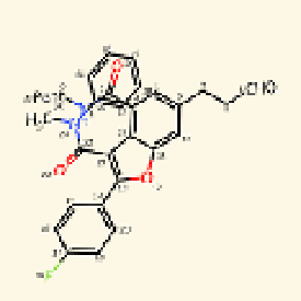 CCCCCNC(=O)c1cc(CCC=O)cc2oc(-c3ccc(F)cc3)c(C(=O)N(C)c3ccccc3)c12